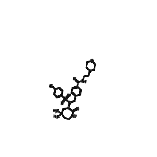 CC1(C)CCNC(=O)C(N(Cc2ccc(C(=O)NCCN3CCOCC3)cc2)S(=O)(=O)c2ccc(Cl)cc2)C1